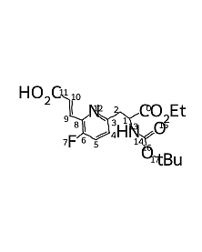 CCOC(=O)C(Cc1ccc(F)c(/C=C/C(=O)O)n1)NC(=O)OC(C)(C)C